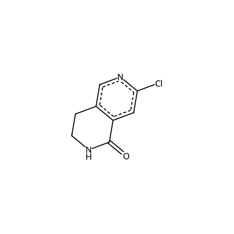 O=C1NCCc2cnc(Cl)cc21